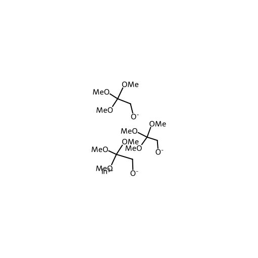 COC(C[O-])(OC)OC.COC(C[O-])(OC)OC.COC(C[O-])(OC)OC.[In+3]